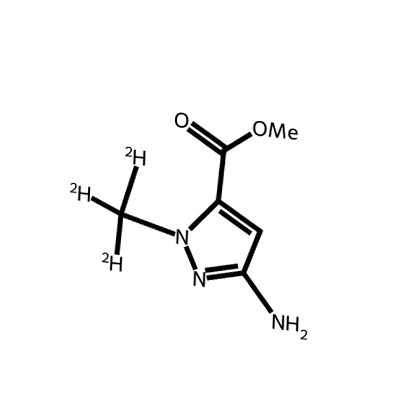 [2H]C([2H])([2H])n1nc(N)cc1C(=O)OC